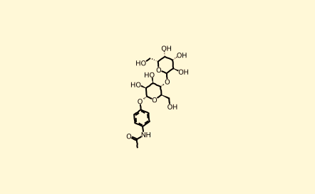 CC(=O)Nc1ccc(O[C@H]2O[C@H](CO)[C@@H](OC3O[C@H](CO)[C@H](O)[C@H](O)[C@H]3O)[C@H](O)[C@@H]2O)cc1